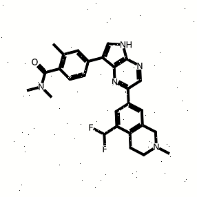 Cc1cc(-c2c[nH]c3ncc(-c4cc5c(c(C(F)F)c4)CCN(C)C5)nc23)ccc1C(=O)N(C)C